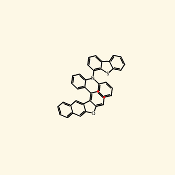 c1ccc(N(c2ccccc2-c2cccc3oc4cc5ccccc5cc4c23)c2cccc3c2sc2ccccc23)cc1